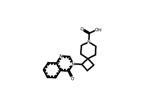 O=C(O)N1CCC2(CCC2n2cnc3ccccc3c2=O)CC1